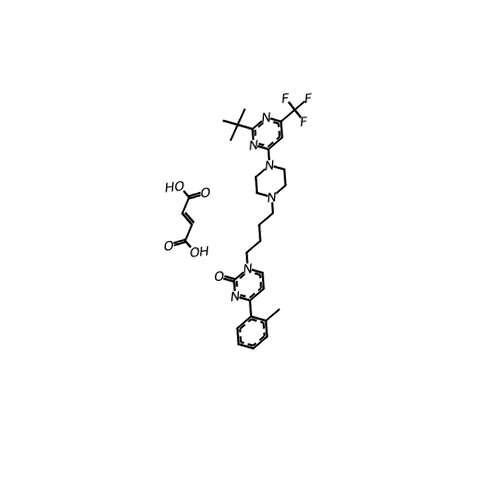 Cc1ccccc1-c1ccn(CCCCN2CCN(c3cc(C(F)(F)F)nc(C(C)(C)C)n3)CC2)c(=O)n1.O=C(O)C=CC(=O)O